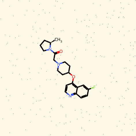 C[C@@H]1CCCN1C(=O)CN1CCC(Oc2ccnc3ccc(F)cc23)CC1